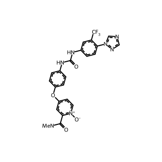 CNC(=O)c1cc(Oc2ccc(NC(=O)Nc3ccc(-n4cncn4)c(C(F)(F)F)c3)cc2)cc[n+]1[O-]